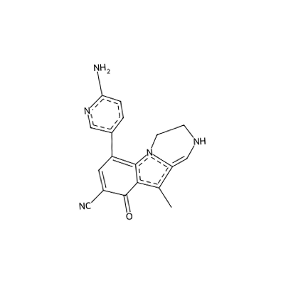 Cc1c2c(n3c1=CNCC3)=C(c1ccc(N)nc1)C=C(C#N)C2=O